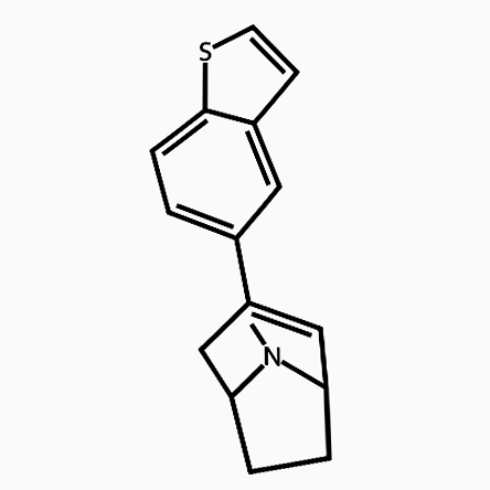 CN1C2C=C(c3ccc4sccc4c3)CC1CC2